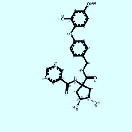 COc1ccc(Oc2ccc(CNC(=O)C3(NC(=O)c4cncnc4)C[C@H](O)[C@@H](O)C3)cc2)c(C(F)(F)F)c1